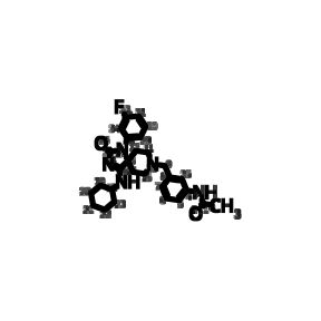 CC(=O)Nc1cccc(CN2CCC3(CC2)C(NC2CCCCC2)=NC(=O)N3c2cccc(F)c2)c1